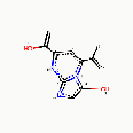 C=C(O)c1cc(C(=C)C)n2c(O)cnc2n1